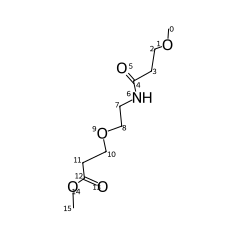 COCCC(=O)NCCOCCC(=O)OC